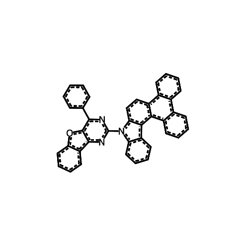 c1ccc(-c2nc(-n3c4ccccc4c4c5c6ccccc6c6ccccc6c5ccc43)nc3c2oc2ccccc23)cc1